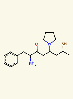 CC(S)CC(CC(=O)C(N)Cc1ccccc1)N1CCCC1